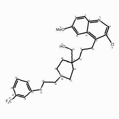 COc1ccc2ncc(Cl)c(CCCC3(CO)CCN(CCSc4cccc(C(F)(F)F)c4)CC3)c2c1